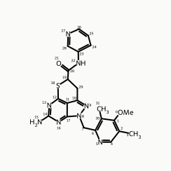 COc1c(C)cnc(Cn2nc3c4c(nc(N)nc42)SC(C(=O)Nc2cccnc2)C3)c1C